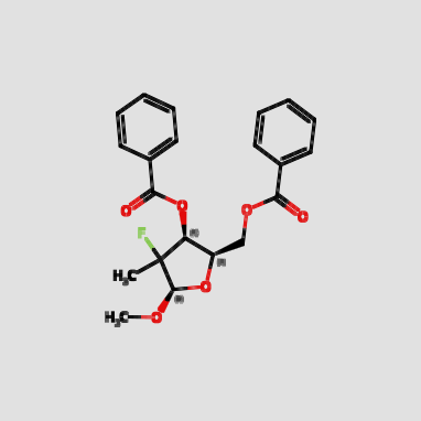 CO[C@@H]1O[C@H](COC(=O)c2ccccc2)[C@H](OC(=O)c2ccccc2)C1(C)F